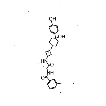 Cc1cccc(C(=O)NCC(=O)NC2CN(C3CCC(O)(c4ccc(O)cc4)CC3)C2)c1